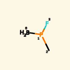 BP(C)F